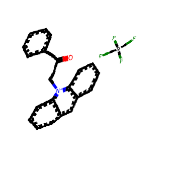 F[B-](F)(F)F.O=C(C[n+]1c2ccccc2cc2ccccc21)c1ccccc1